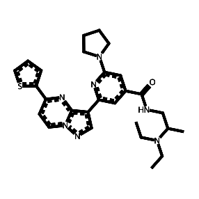 CCN(CC)C(C)CNC(=O)c1cc(-c2cnn3ccc(-c4cccs4)nc23)nc(N2CCCC2)c1